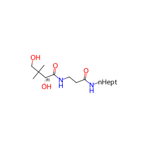 CCCCCCCNC(=O)CCNC(=O)[C@H](O)C(C)(C)CO